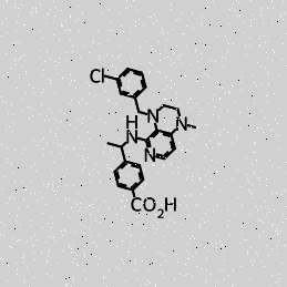 CC(Nc1nccc2c1N(Cc1cccc(Cl)c1)CCN2C)c1ccc(C(=O)O)cc1